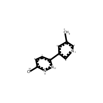 Cc1cncc(-c2ccc(Cl)nn2)c1